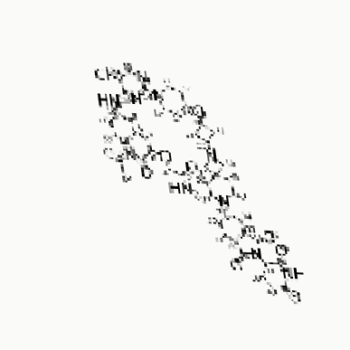 CNC(=O)COc1cc2cc(Nc3nc(N4CCC(OC5CC(N6CC7(CCN(c8ccc9c(c8)C(=O)N(C8CCC(=O)NC8=O)C9=O)CC7)C6)C5)CC4)ncc3Cl)ccc2n(C(C)C)c1=O